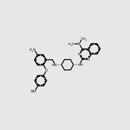 CN(C)c1nc(N[C@H]2CC[C@@H](NCc3cc([N+](=O)[O-])ccc3Oc3ccc(C(C)(C)C)cc3)CC2)nc2ccccc12